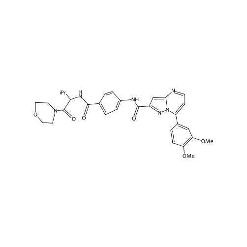 COc1ccc(-c2ccnc3cc(C(=O)Nc4ccc(C(=O)NC(C(=O)N5CCOCC5)C(C)C)cc4)nn23)cc1OC